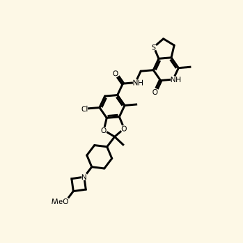 COC1CN(C2CCC(C3(C)Oc4c(Cl)cc(C(=O)NCc5c6c(c(C)[nH]c5=O)CCS6)c(C)c4O3)CC2)C1